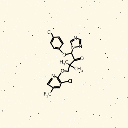 CC(C)(COc1ncc(C(F)(F)F)cc1Cl)C(=O)C(Oc1ccc(Cl)cc1)n1cncn1